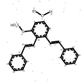 CCOCC.O=S(=O)(O)Oc1cccc(/C=C/c2ccccc2)c1/C=C/c1ccccc1